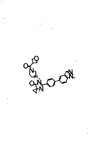 Cn1ncc2cc(-c3ccc(C4=NC5(CC5)C(=O)N4C[C@@H]4CCN(C(=O)C5COC5)C4)cc3)ccc21